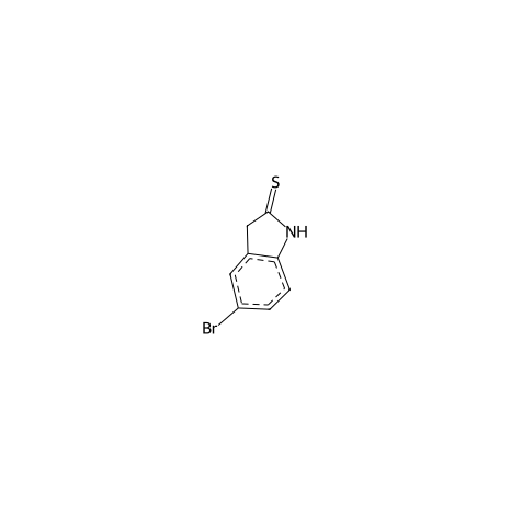 S=C1Cc2cc(Br)ccc2N1